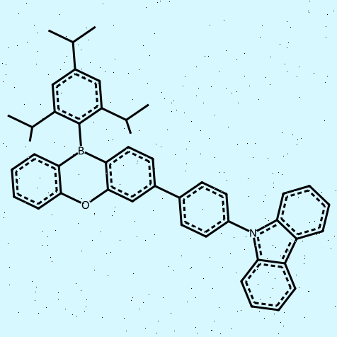 CC(C)c1cc(C(C)C)c(B2c3ccccc3Oc3cc(-c4ccc(-n5c6ccccc6c6ccccc65)cc4)ccc32)c(C(C)C)c1